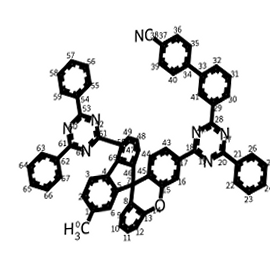 Cc1ccc2c(c1)C1(c3ccccc3Oc3cc(-c4nc(-c5ccccc5)nc(-c5cccc(-c6ccc(C#N)cc6)c5)n4)ccc31)c1cccc(-c3nc(-c4ccccc4)nc(-c4ccccc4)n3)c1-2